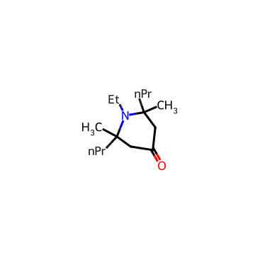 CCCC1(C)CC(=O)CC(C)(CCC)N1CC